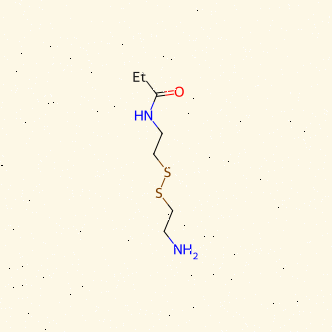 CCC(=O)NCCSSCCN